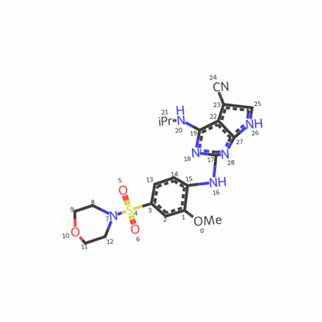 COc1cc(S(=O)(=O)N2CCOCC2)ccc1Nc1nc(NC(C)C)c2c(C#N)c[nH]c2n1